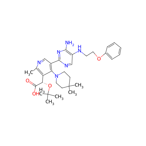 Cc1ncc(-c2ncc(NCCOc3ccccc3)c(N)n2)c(N2CCC(C)(C)CC2)c1[C@H](OC(C)(C)C)C(=O)O